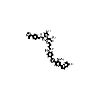 CNc1cc(-c2ccc3cc(C#N)cnn23)ncc1-c1nnc(C2CCC(NC(=O)CCC(=O)N[C@H](C(=O)N3C[C@@H](O)C[C@H]3C(=O)NCc3ccc(-c4scnc4C)cc3)C(C)(C)C)CC2)s1